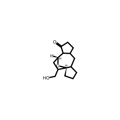 O=C1CCC2CC3CCC[C@@]34O[C@H](CC4CO)C12